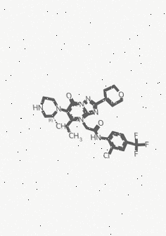 CCc1c(N2CCNC[C@H]2C)c(=O)n2nc(C3=CCOCC3)nc2n1CC(=O)Nc1ccc(C(F)(F)F)cc1Cl